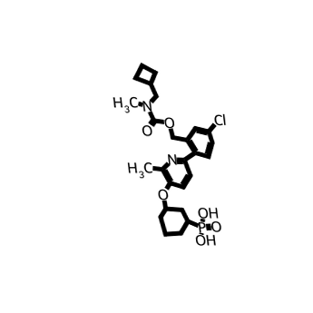 Cc1nc(-c2ccc(Cl)cc2COC(=O)N(C)CC2CCC2)ccc1OC1CCCC(P(=O)(O)O)C1